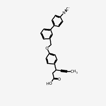 [C-]#[N+]c1ccc(-c2cccc(COc3ccc(C(C#CC)CC(=O)O)cc3)c2)cc1